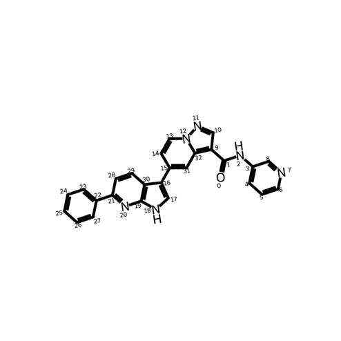 O=C(Nc1cccnc1)c1cnn2ccc(-c3c[nH]c4nc(-c5ccccc5)ccc34)cc12